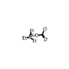 CC(C)COC(=O)Cl.CCN(CC)CC